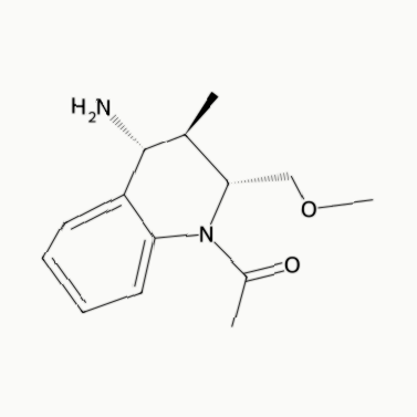 COC[C@H]1[C@H](C)[C@@H](N)c2ccccc2N1C(C)=O